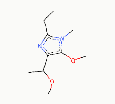 CCc1nc(C(C)OC)c(OC)n1C